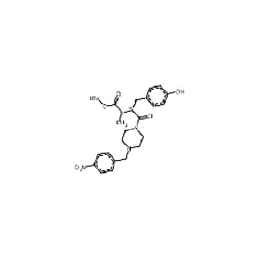 CN(C(=O)OC(C)(C)C)[C@@H](Cc1ccc(O)cc1)C(=O)N1CCN(Cc2ccc([N+](=O)[O-])cc2)CC1